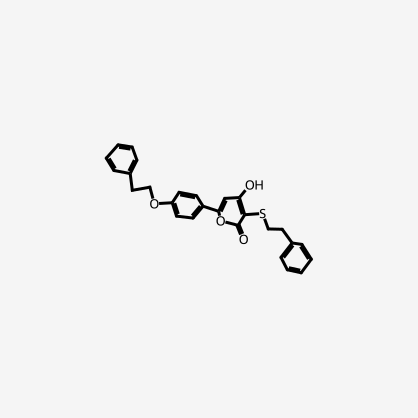 O=c1oc(-c2ccc(OCCc3ccccc3)cc2)cc(O)c1SCCc1ccccc1